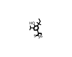 CCC(C)(C)c1cc(-c2cssc2=S)cc(C(C)C)c1O